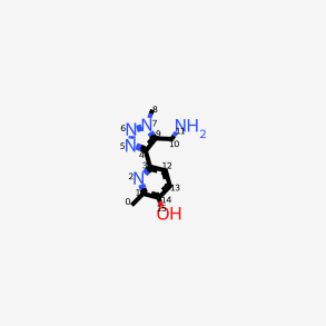 Cc1nc(-c2nnn(C)c2CN)ccc1O